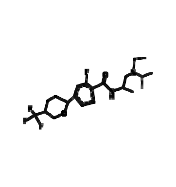 CCN(CC(C)NC(=O)c1ccc(C2CCC(C(F)(F)F)CO2)cc1F)C(C)C